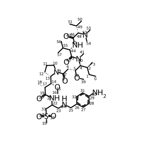 CC[C@H](C)[C@@H]([C@@H](CC(=O)N1CCC[C@H]1[C@H](OC)[C@@H](C)C(=O)NC(CNCc1ccc(N)cc1)CS(C)(=O)=O)OC)N(C)C(=O)[C@@H](NC(=O)[C@H](C(C)C)N(C)C)C(C)C